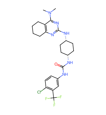 CN(C)c1nc(N[C@H]2CC[C@@H](NC(=O)Nc3ccc(Cl)c(C(F)(F)F)c3)CC2)nc2c1CCCC2